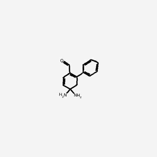 NC1(N)C=CC(C=O)=C(c2ccccc2)C1